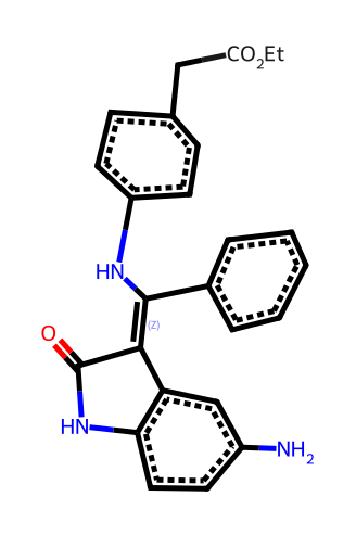 CCOC(=O)Cc1ccc(N/C(=C2\C(=O)Nc3ccc(N)cc32)c2ccccc2)cc1